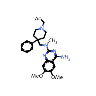 COc1cc2nc(N(C)CC3(c4ccccc4)CCN(CC(C)=O)CC3)nc(N)c2cc1OC